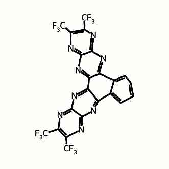 FC(F)(F)c1nc2nc3c4ccccc4c4nc5nc(C(F)(F)F)c(C(F)(F)F)nc5nc4c3nc2nc1C(F)(F)F